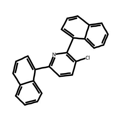 Clc1ccc(-c2cccc3ccccc23)nc1-c1cccc2ccccc12